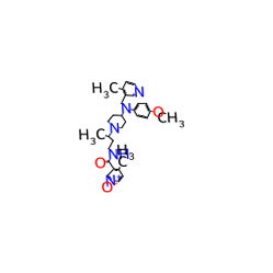 COc1ccc(N(Cc2cnccc2C)C2CCN([C@H](C)CCNC(=O)c3c[n+]([O-])ccc3C)CC2)cc1